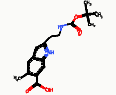 Cc1cc2cc(CCNC(=O)OC(C)(C)C)[nH]c2cc1C(=O)O